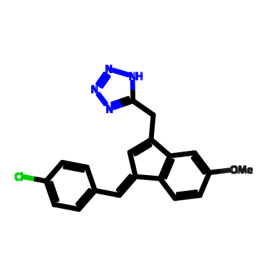 COc1ccc2c(c1)C(Cc1nnn[nH]1)=CC2=Cc1ccc(Cl)cc1